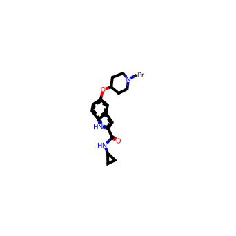 CC(C)N1CCC(Oc2ccc3[nH]c(C(=O)NC4CC4)cc3c2)CC1